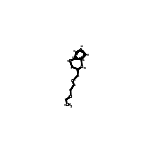 CCOCCOCC1COc2cscc2O1